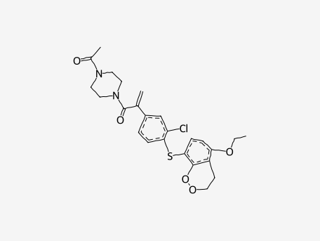 C=C(C(=O)N1CCN(C(C)=O)CC1)c1ccc(Sc2ccc(OCC)c3c2OOCC3)c(Cl)c1